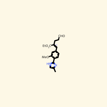 CCOC(=O)/C(=C\c1ccc(-c2nc(C)c[nH]2)c(OC)c1)CCC=O